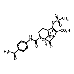 CS(=O)(=O)OC1=C(C(=O)O)N2C(=O)[C@@H]3[C@H]2C1CCN3C(=O)Nc1ccc(C(N)=O)cc1